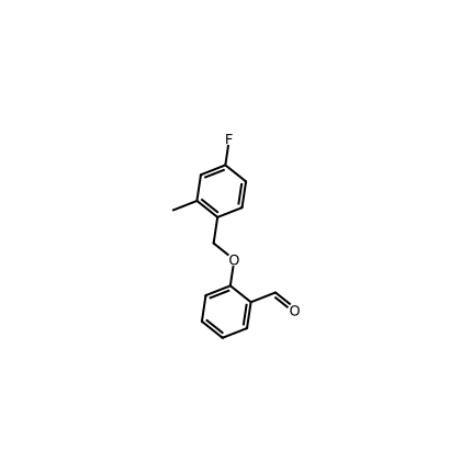 Cc1cc(F)ccc1COc1ccccc1C=O